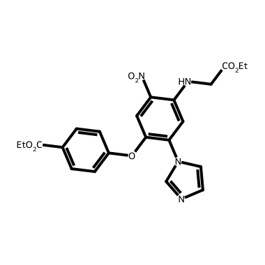 CCOC(=O)CNc1cc(-n2ccnc2)c(Oc2ccc(C(=O)OCC)cc2)cc1[N+](=O)[O-]